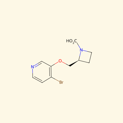 O=C(O)N1CC[C@H]1COc1cnccc1Br